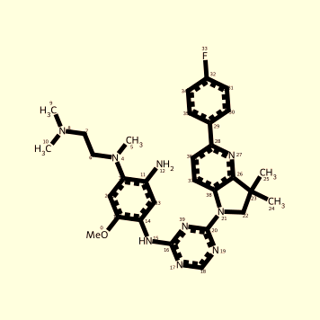 COc1cc(N(C)CCN(C)C)c(N)cc1Nc1ncnc(N2CC(C)(C)c3nc(-c4ccc(F)cc4)ccc32)n1